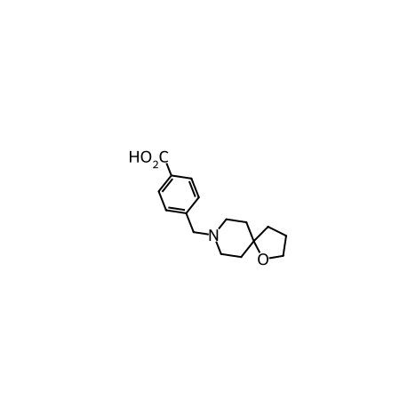 O=C(O)c1ccc(CN2CCC3(CCCO3)CC2)cc1